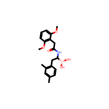 COc1cccc(OC)c1CC(=O)NC(Cc1ccc(C)cc1C)B(O)O